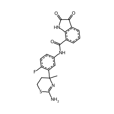 CC1(c2cc(NC(=O)c3cccc4c3NC(=O)C4=O)ccc2F)CCSC(N)=N1